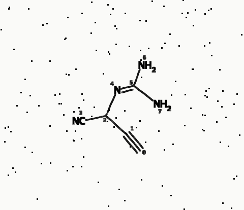 C#CC(C#N)N=C(N)N